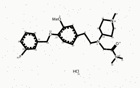 COc1cc(CCN(CC(=O)N(C)C)C2CCN(C)CC2)ccc1OCc1cccc(F)c1.Cl